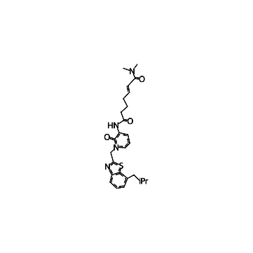 CC(C)Cc1cccc2nc(Cn3cccc(NC(=O)CCC/C=C/C(=O)N(C)C)c3=O)sc12